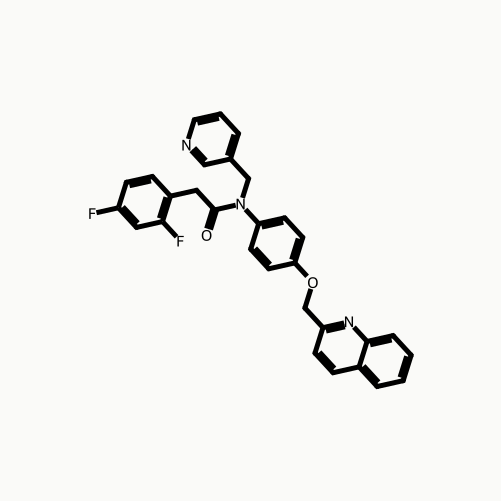 O=C(Cc1ccc(F)cc1F)N(Cc1cccnc1)c1ccc(OCc2ccc3ccccc3n2)cc1